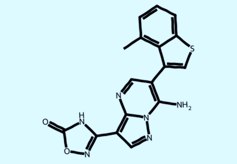 Cc1cccc2scc(-c3cnc4c(-c5noc(=O)[nH]5)cnn4c3N)c12